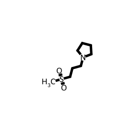 CS(=O)(=O)CCCN1CCCC1